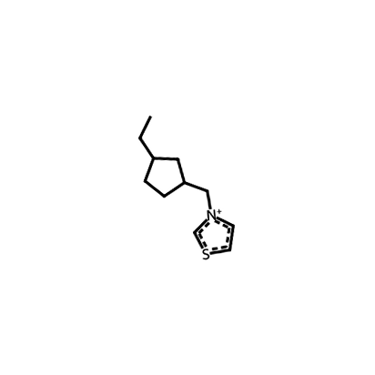 CCC1CCC(C[n+]2ccsc2)C1